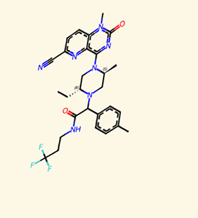 CC[C@@H]1CN(c2nc(=O)n(C)c3ccc(C#N)nc23)[C@@H](C)CN1C(C(=O)NCCC(F)(F)F)c1ccc(C)cc1